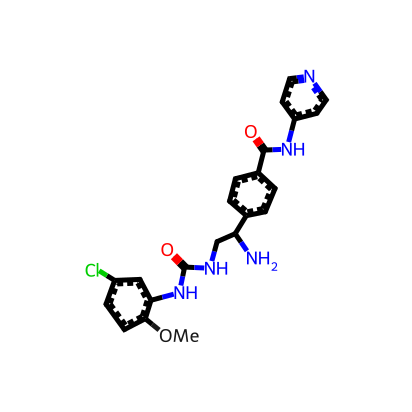 COc1ccc(Cl)cc1NC(=O)NCC(N)c1ccc(C(=O)Nc2ccncc2)cc1